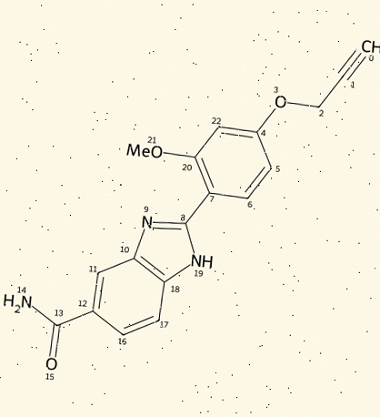 C#CCOc1ccc(-c2nc3cc(C(N)=O)ccc3[nH]2)c(OC)c1